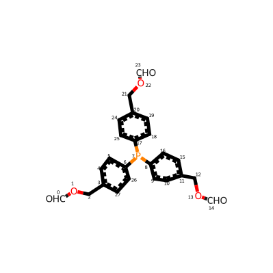 O=COCc1ccc(P(c2ccc(COC=O)cc2)c2ccc(COC=O)cc2)cc1